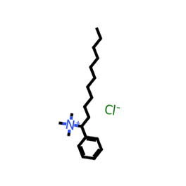 CCCCCCCCCCC(c1ccccc1)[N+](C)(C)C.[Cl-]